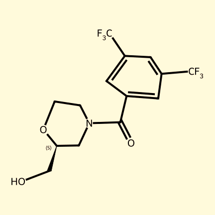 O=C(c1cc(C(F)(F)F)cc(C(F)(F)F)c1)N1CCO[C@H](CO)C1